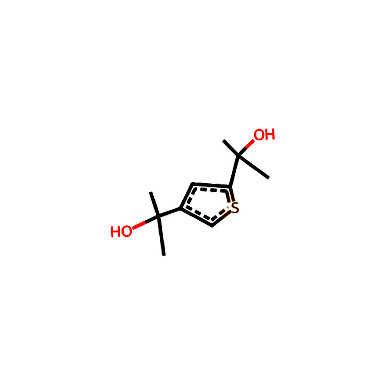 CC(C)(O)c1csc(C(C)(C)O)c1